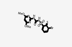 COc1cc(OC)nc(NC(=O)NS(=O)(=O)C2=CC=CC(Br)C2=S)n1